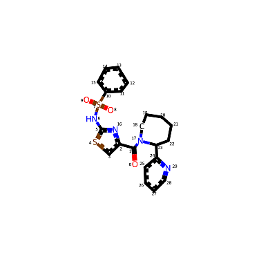 O=C(c1csc(NS(=O)(=O)c2ccccc2)n1)N1CCCCCC1c1ccccn1